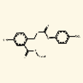 CCCCCOC(=O)c1cc(N)ccc1COC(=O)Oc1ccc([N+](=O)[O-])cc1